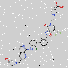 Cc1c(-c2nc3c(=O)n(CCN4CC[C@@H](C(=O)O)C4)cc(C(F)(F)F)c3o2)cccc1-c1cccc(Nc2nccc3cc(CN4CC[C@@H](O)C4)cnc23)c1Cl